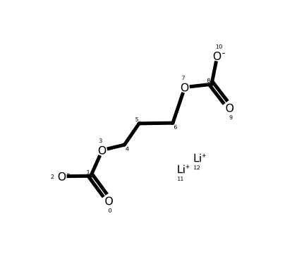 O=C([O-])OCCCOC(=O)[O-].[Li+].[Li+]